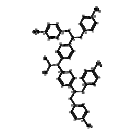 CCCCC(CC)C(c1ccc(N(Cc2ccc([N+](=O)[O-])cc2)Cc2ccc([N+](=O)[O-])cc2)cc1)c1ccc(N(Cc2ccc([N+](=O)[O-])cc2)Cc2ccc([N+](=O)[O-])cc2)cc1